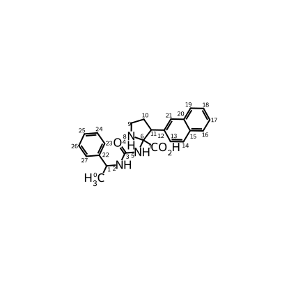 CC(NC(=O)NC1(C(=O)O)NCCC1c1ccc2ccccc2c1)c1ccccc1